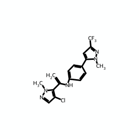 C=C(Nc1ccc(-c2cc(C(F)(F)F)nn2C)cc1)c1c(Cl)cnn1C